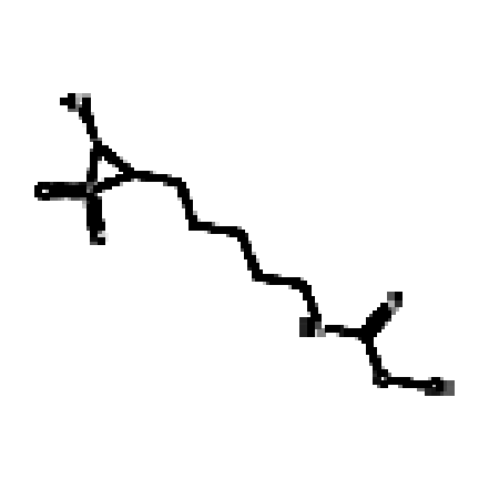 CC(C)(C)OC(=O)NCCCCCC1[C@H](O)S1(=O)=O